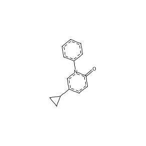 O=c1ccc(C2CC2)cn1-c1ccccc1